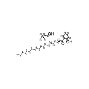 CCCCCCCCCCCCCCCCCCOC(=O)c1ccccc1O.C[N+](C)(C)CCO